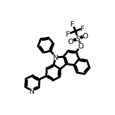 O=S(=O)(Oc1cc2c(c3ccccc13)c1ccc(-c3cccnc3)cc1n2-c1ccccc1)C(F)(F)F